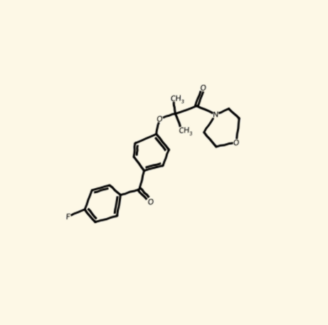 CC(C)(Oc1ccc(C(=O)c2ccc(F)cc2)cc1)C(=O)N1CCOCC1